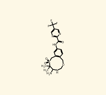 CC1(C)C(N)NCOCc2ccc(NC(=O)c3ncc(C(F)(F)F)cn3)cc2CS1(=O)=O